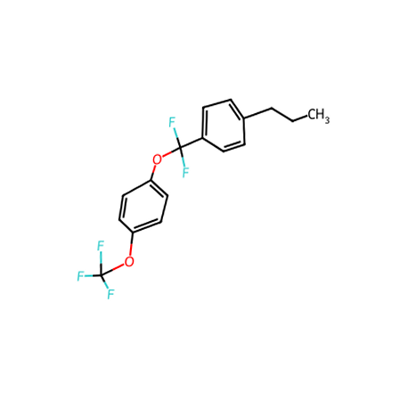 CCCc1ccc(C(F)(F)Oc2ccc(OC(F)(F)F)cc2)cc1